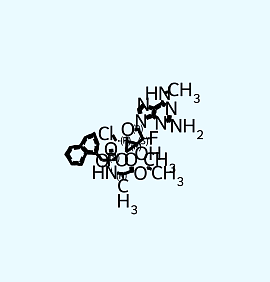 CNc1nc(N)nc2c1ncn2[C@@H]1O[C@]2(CCl)C(O[P@@](=O)(N[C@H](C)C(=O)OC(C)C)Oc3cccc4ccccc34)[C@]2(O)[C@@H]1F